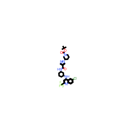 CC(C)(C)OC(=O)N1CCC[C@@H](n2cc(C(=O)N[C@@H]3CCC[C@H](Nc4cc(C(F)(F)F)nc5ccc(Cl)cc45)C3)cn2)C1